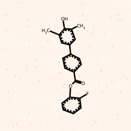 Cc1cc(-c2ccc(C(=O)Oc3ccccc3F)cc2)cc(C)c1O